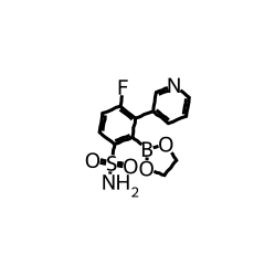 NS(=O)(=O)c1ccc(F)c(-c2cccnc2)c1B1OCCO1